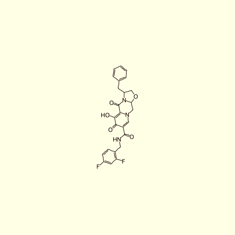 O=C(NCc1ccc(F)cc1F)c1cn2c(c(O)c1=O)C(=O)N1C(Cc3ccccc3)COC1C2